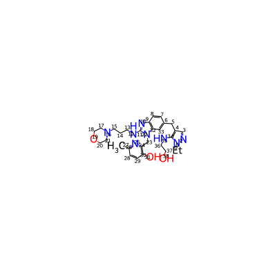 CCn1ncc(Cc2ccc3nc(NCCCN4CCOCC4)n(Cc4nc(C)ccc4O)c3c2)c1NCCO